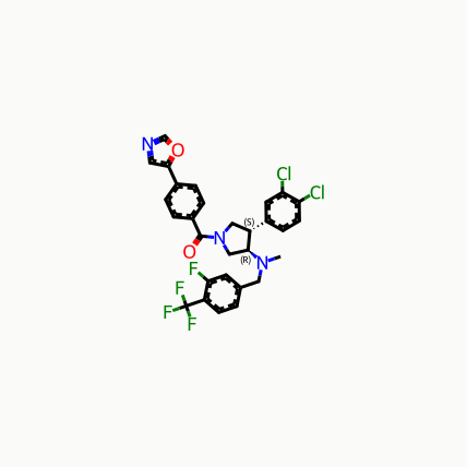 CN(Cc1ccc(C(F)(F)F)c(F)c1)[C@H]1CN(C(=O)c2ccc(-c3cnco3)cc2)C[C@@H]1c1ccc(Cl)c(Cl)c1